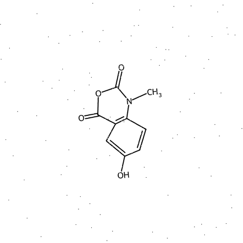 Cn1c(=O)oc(=O)c2cc(O)ccc21